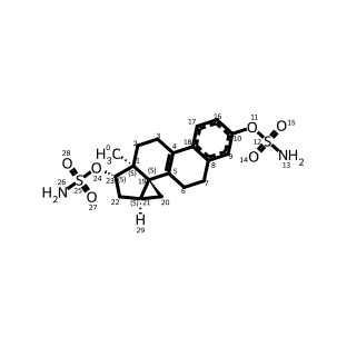 C[C@]12CCC3=C(CCc4cc(OS(N)(=O)=O)ccc43)[C@@]13C[C@H]3C[C@@H]2OS(N)(=O)=O